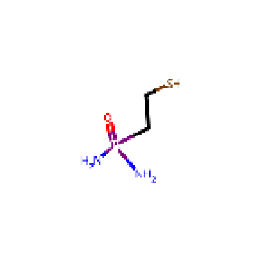 NP(N)(=O)CCS